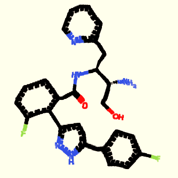 N[C@H](CO)[C@H](Cc1ccccn1)NC(=O)c1cccc(F)c1-c1cc(-c2ccc(F)cc2)[nH]n1